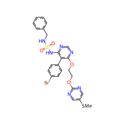 CSc1cnc(OCCOc2ncnc(NS(=O)(=O)NCc3ccccc3)c2-c2ccc(Br)cc2)nc1